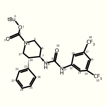 CC(C)(C)OC(=O)N1CC[C@@H](NC(=O)Nc2cc(C(F)(F)F)cc(C(F)(F)F)c2)[C@H](c2ccccc2)C1